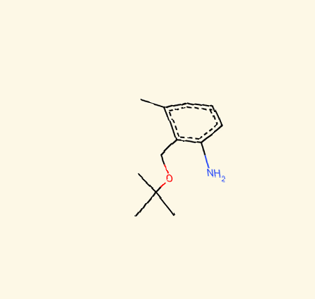 Cc1cccc(N)c1COC(C)(C)C